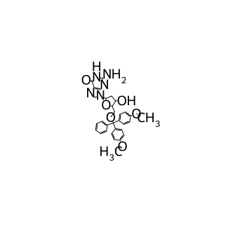 COc1ccc(C(OCC2OC(n3cnc4c(=O)[nH]c(N)nc43)CC2O)(c2ccccc2)c2ccc(OC)cc2)cc1